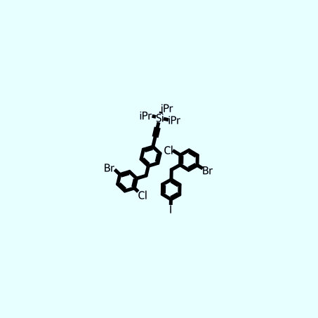 CC(C)[Si](C#Cc1ccc(Cc2cc(Br)ccc2Cl)cc1)(C(C)C)C(C)C.Clc1ccc(Br)cc1Cc1ccc(I)cc1